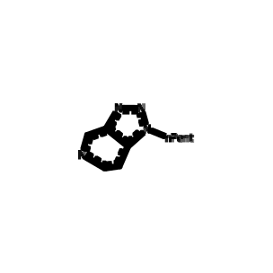 CCCCCn1nnc2cnccc21